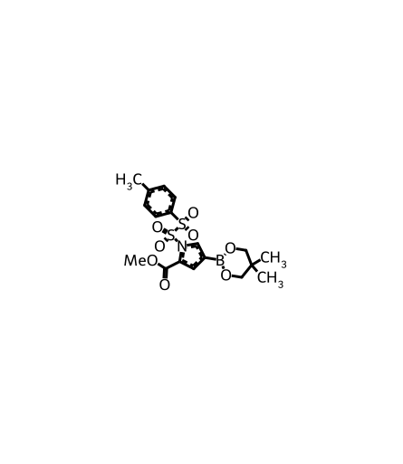 COC(=O)c1cc(B2OCC(C)(C)CO2)cn1S(=O)(=O)S(=O)(=O)c1ccc(C)cc1